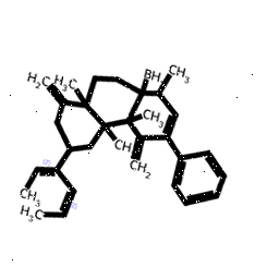 BC12CCC3(C)C(=C)CC(C(/C=C\C)=C/C)CC3(C)C1(C)C(=C)C(c1ccccc1)=CC2C